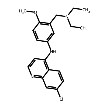 CCN(CC)Cc1cc(Nc2ccnc3cc(Cl)ccc23)ccc1OC